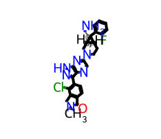 CN1Cc2c(ccc(-c3n[nH]c4nc(N5CC[C@@H]6[C@H](C5)[C@@]6(CN)c5ccccc5F)cnc34)c2Cl)C1=O